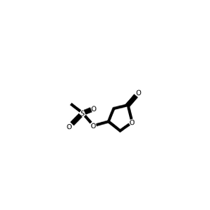 CS(=O)(=O)OC1COC(=O)C1